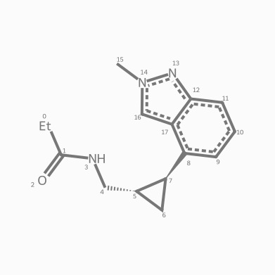 CCC(=O)NC[C@H]1C[C@@H]1c1cccc2nn(C)cc12